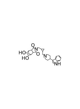 O=C1C2C3CC(C(O)C3O)C2C(=O)N1CC1CC1CN1CCC(c2c[nH]c3ccccc23)CC1